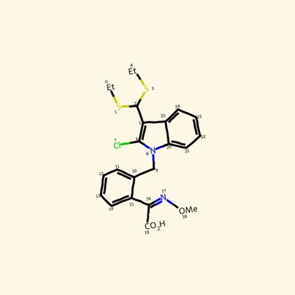 CCSC(SCC)c1c(Cl)n(Cc2ccccc2C(=NOC)C(=O)O)c2ccccc12